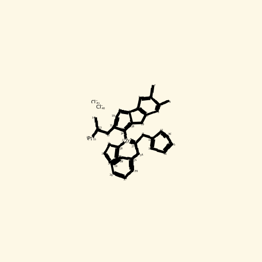 Cc1cc2c(cc1C)-c1ccc(CC(C)C(C)C)[c]([Zr+2]([C]3=CC=CC3)=[C](Cc3ccccc3)Cc3ccccc3)c1C2.[Cl-].[Cl-]